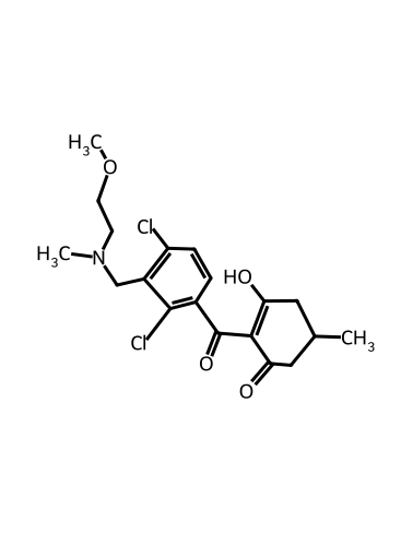 COCCN(C)Cc1c(Cl)ccc(C(=O)C2=C(O)CC(C)CC2=O)c1Cl